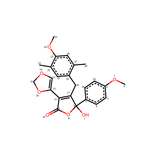 COc1ccc(C2(O)OC(=O)C(C3=COCO3)=C2Cc2cc(C)c(OC)cc2C)cc1